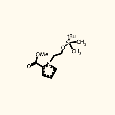 COC(=O)c1cccn1CCO[Si](C)(C)C(C)(C)C